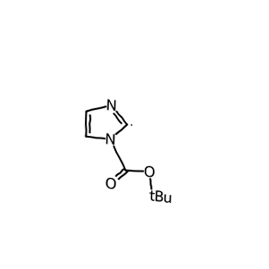 CC(C)(C)OC(=O)n1[c]ncc1